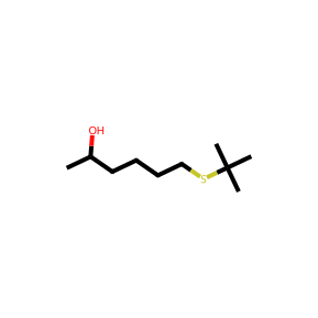 CC(O)CCCCSC(C)(C)C